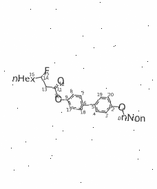 CCCCCCCCCOc1ccc(-c2ccc(OC(=O)CC(F)CCCCCC)cc2)cc1